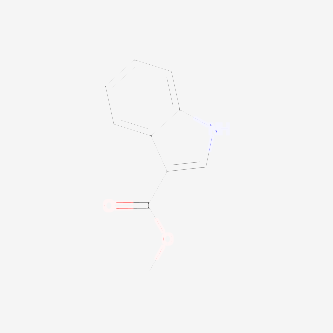 COC(=O)c1[c][nH]c2ccccc12